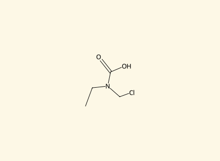 CCN(CCl)C(=O)O